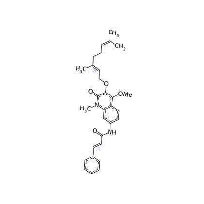 COc1c(OC/C=C(\C)CCC=C(C)C)c(=O)n(C)c2cc(NC(=O)/C=C/c3ccccc3)ccc12